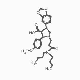 CCCCN(CCCC)C(=O)CCN1CC(c2ccc3c(c2)OCO3)C(C(=O)O)C1c1ccc(OC)cc1